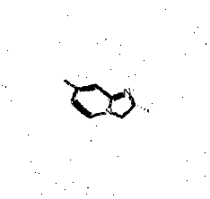 CC1=CC2=N[C@H](C)CN2C=C1